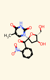 Cc1cn([C@@]2(C(=O)c3ccccc3[N+](=O)[O-])C[C@H](O)[C@@H](CO)O2)c(=O)[nH]c1=O